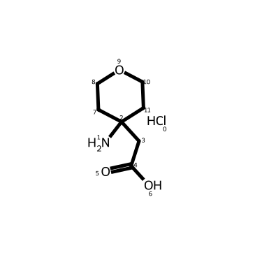 Cl.NC1(CC(=O)O)CCOCC1